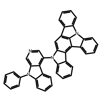 c1ccc(-n2c3ccccc3c3c(-n4c5ccccc5c5c6c7ccccc7n7c8ccccc8c(cc54)c67)cncc32)cc1